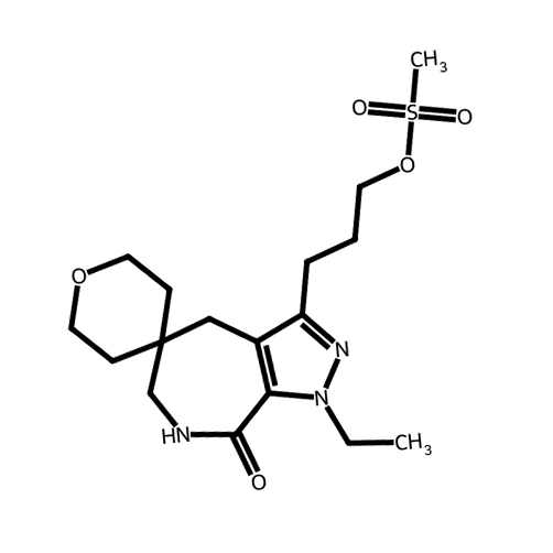 CCn1nc(CCCOS(C)(=O)=O)c2c1C(=O)NCC1(CCOCC1)C2